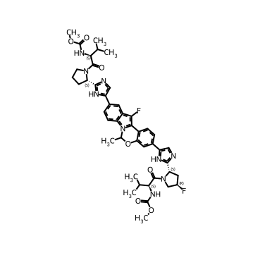 COC(=O)N[C@H](C(=O)N1CCC[C@H]1c1ncc(-c2ccc3c(c2)c(F)c2n3C(C)Oc3cc(-c4cnc([C@@H]5C[C@@H](F)CN5C(=O)[C@@H](NC(=O)OC)C(C)C)[nH]4)ccc3-2)[nH]1)C(C)C